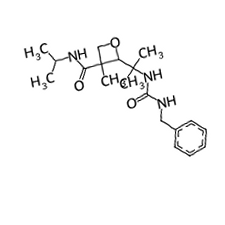 CC(C)NC(=O)C1(C)COC1C(C)(C)NC(=O)NCc1ccccc1